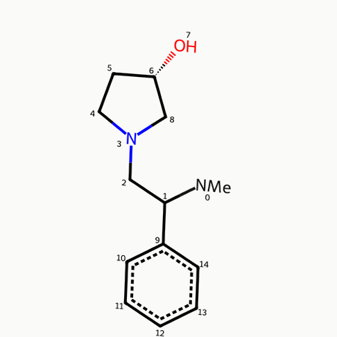 CNC(CN1CC[C@H](O)C1)c1ccccc1